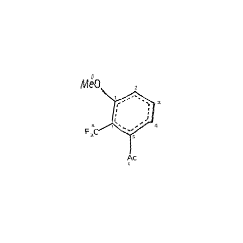 COc1cccc(C(C)=O)c1C(F)(F)F